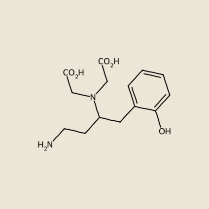 NCCC(Cc1ccccc1O)N(CC(=O)O)CC(=O)O